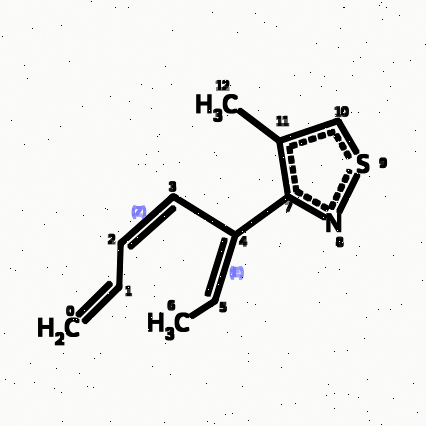 C=C/C=C\C(=C/C)c1nscc1C